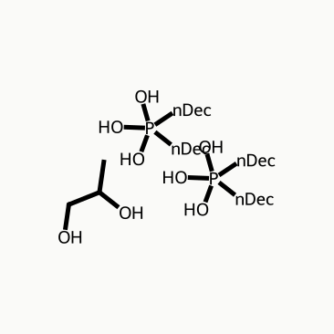 CC(O)CO.CCCCCCCCCCP(O)(O)(O)CCCCCCCCCC.CCCCCCCCCCP(O)(O)(O)CCCCCCCCCC